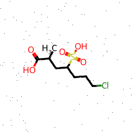 CC(CC(CCCCl)S(=O)(=O)O)C(=O)O